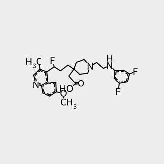 COc1ccc2ncc(C)c(C(F)CCC3(CC(=O)O)CCN(CCNc4cc(F)cc(F)c4)CC3)c2c1